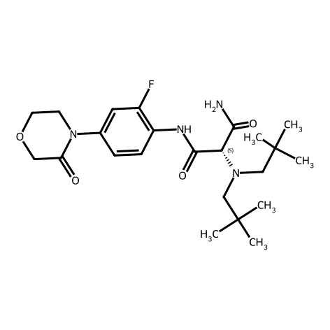 CC(C)(C)CN(CC(C)(C)C)[C@@H](C(N)=O)C(=O)Nc1ccc(N2CCOCC2=O)cc1F